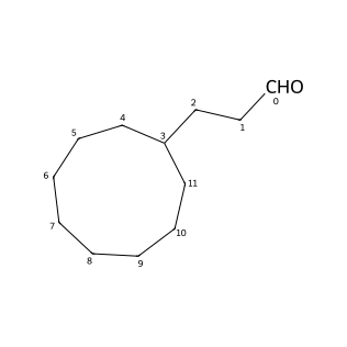 O=CCCC1CCCCCCCC1